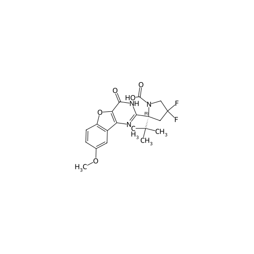 COc1ccc2oc3c(=O)[nH]c([C@]4(C(C)(C)C)CC(F)(F)CN4C(=O)O)nc3c2c1